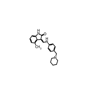 Cc1cccc2c1C(=CNc1ccc(CN3CCCCC3)cc1)C(=O)N2